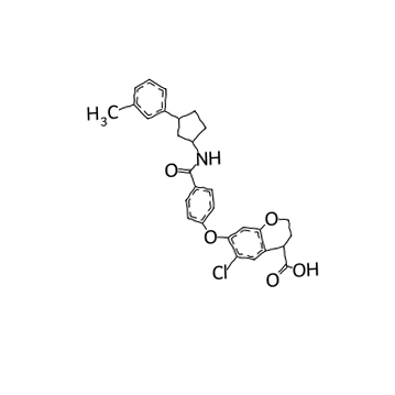 Cc1cccc(C2CCC(NC(=O)c3ccc(Oc4cc5c(cc4Cl)C(C(=O)O)CCO5)cc3)C2)c1